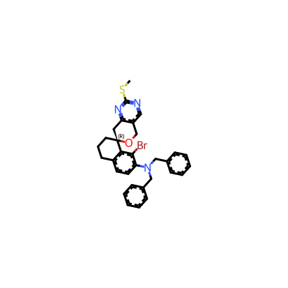 CSc1ncc2c(n1)C[C@@]1(CCCc3ccc(N(Cc4ccccc4)Cc4ccccc4)c(Br)c31)OC2